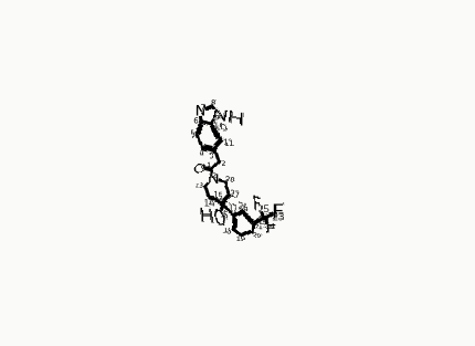 O=C(Cc1ccc2nc[nH]c2c1)N1CCC(O)(c2cccc(C(F)(F)F)c2)CC1